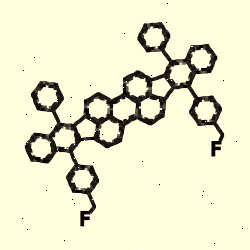 FCc1ccc(-c2c3c(c(-c4ccccc4)c4ccccc24)-c2ccc4c5ccc6c7c(ccc(c8ccc-3c2c48)c75)-c2c-6c(-c3ccccc3)c3ccccc3c2-c2ccc(CF)cc2)cc1